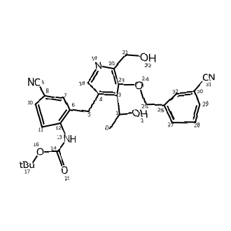 CC(O)c1c(Cc2cc(C#N)ccc2NC(=O)OC(C)(C)C)cnc(CO)c1OCc1cccc(C#N)c1